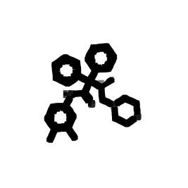 Cc1ccc(NC(=O)C(c2ccccc2)(c2ccccc2)[C@@H](C)CN2CCOCC2)cc1C